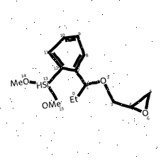 CCC(OCC1CO1)c1ccccc1[SiH](OC)OC